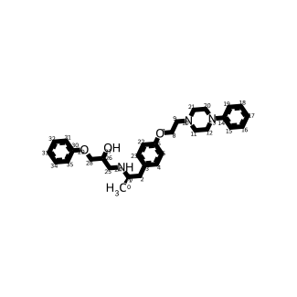 C[C@H](Cc1ccc(OCCN2CCN(c3ccccc3)CC2)cc1)NCC(O)COc1ccccc1